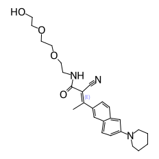 C/C(=C(/C#N)C(=O)NCCOCCOCCO)c1ccc2cc(N3CCCCC3)ccc2c1